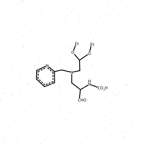 CCOC(CN(Cc1ccccn1)CC(C=O)NC(=O)O)OCC